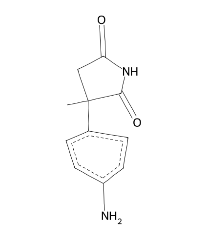 CC1(c2ccc(N)cc2)CC(=O)NC1=O